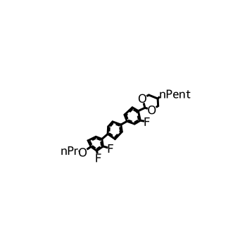 CCCCCC1COC(c2ccc(-c3ccc(-c4ccc(OCCC)c(F)c4F)cc3)cc2F)OC1